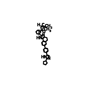 CC(C)(C)OC(=O)N1CCC[C@H]1c1nc2c([nH]1)-c1ccc(-c3ccc(-c4cnc(C5CCCC5)[nH]4)cc3)cc1CC2